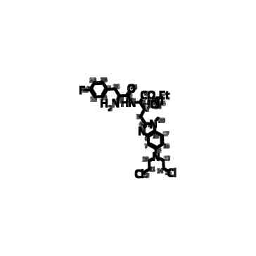 CCOC(=O)C(CCc1nc2cc(N(CCCl)CCCl)ccc2n1C)NC(=O)C(N)Cc1ccc(F)cc1.Cl.Cl